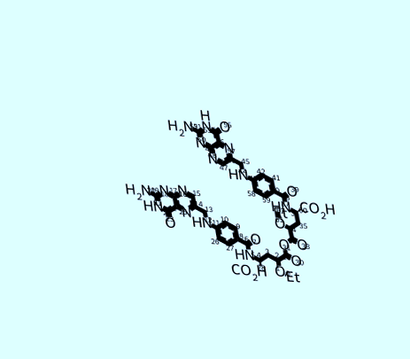 CCOC(C[C@H](NC(=O)c1ccc(NCc2cnc3nc(N)[nH]c(=O)c3n2)cc1)C(=O)O)C(=O)OC(=O)C(C[C@H](NC(=O)c1ccc(NCc2cnc3nc(N)[nH]c(=O)c3n2)cc1)C(=O)O)OCC